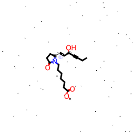 CCC#C[C@@H](O)/C=C/[C@H]1CCC(=O)N1CCCCCCC(=O)OC